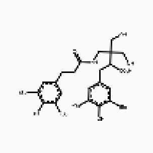 CC(C)(C)c1cc(CCC(=O)NCC(CO)(CO)C(Cc2cc(C(C)(C)C)c(O)c(C(C)(C)C)c2)C(=O)O)cc(C(C)(C)C)c1O